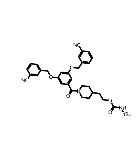 CC(C)(C)NC(=O)OCCC1CCN(C(=O)c2cc(OCc3cccc(C#N)c3)cc(OCc3cccc(C#N)c3)c2)CC1